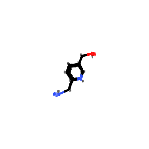 NCc1ccc(CO)cn1